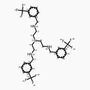 FC(F)(F)c1cccc(CNCCN(CCNCc2cccc(C(F)(F)F)c2)CCNCc2cccc(C(F)(F)F)c2)c1